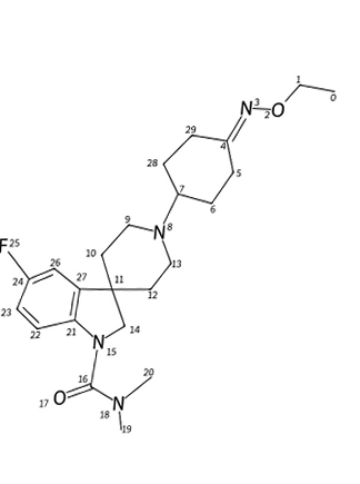 CCON=C1CCC(N2CCC3(CC2)CN(C(=O)N(C)C)c2ccc(F)cc23)CC1